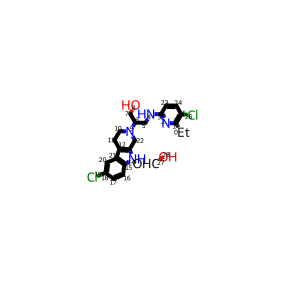 CCc1nc(NCC(CO)N2CCc3c([nH]c4ccc(Cl)cc34)C2)ccc1Cl.O=CO